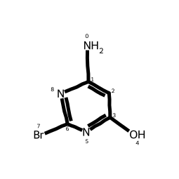 Nc1cc(O)nc(Br)n1